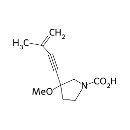 C=C(C)C#CC1(OC)CCN(C(=O)O)C1